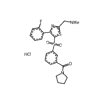 CNCc1nc(-c2ccccc2F)c(S(=O)(=O)c2cccc(C(=O)N3CCCC3)c2)s1.Cl